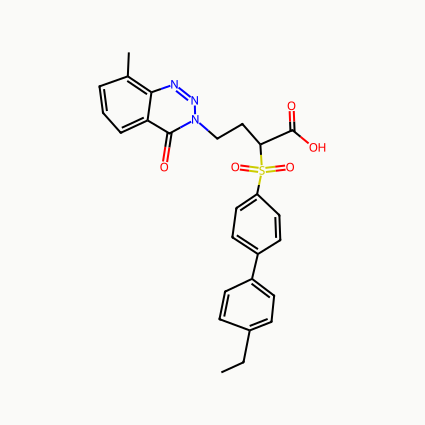 CCc1ccc(-c2ccc(S(=O)(=O)C(CCn3nnc4c(C)cccc4c3=O)C(=O)O)cc2)cc1